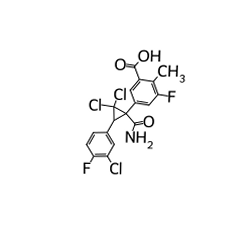 Cc1c(F)cc(C2(C(N)=O)C(c3ccc(F)c(Cl)c3)C2(Cl)Cl)cc1C(=O)O